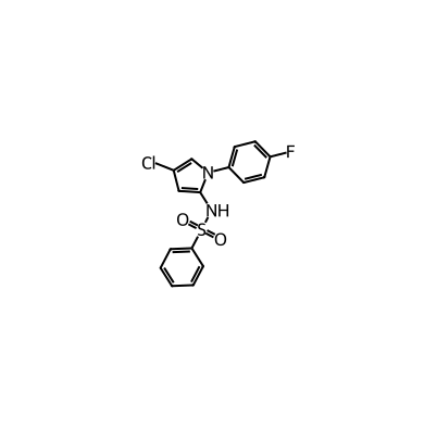 O=S(=O)(Nc1cc(Cl)cn1-c1ccc(F)cc1)c1ccccc1